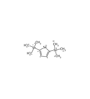 [CH3][Sn]([CH3])([CH3])[c]1cc[c]([Sn]([CH3])([CH3])[CH3])[se]1